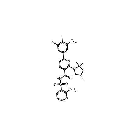 COc1cc(-c2ccc(C(=O)NS(=O)(=O)c3cccnc3N)c(N3C[C@@H](C)CC3(C)C)n2)cc(F)c1F